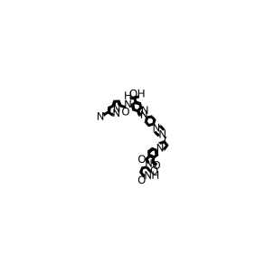 CC(C)(O)c1cc2nn(C3CCC(N4CCN(C[C@H]5CCN(c6ccc7c(c6)C(=O)N(C6CCC(=O)NC6=O)C7=O)C5)CC4)CC3)cc2cc1NC(=O)c1ccc2cc(C#N)cnn12